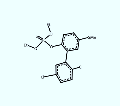 CCOP(=S)(OCC)Oc1ccc(SC)cc1-c1cc(Cl)ccc1Cl